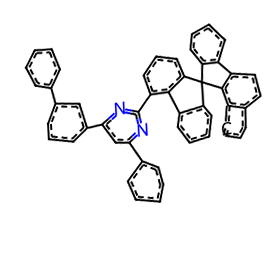 c1ccc(-c2cccc(-c3cc(-c4ccccc4)nc(-c4cccc5c4-c4ccccc4C54c5ccccc5-c5ccc6ccccc6c54)n3)c2)cc1